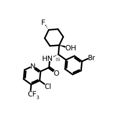 O=C(N[C@@H](c1cccc(Br)c1)[C@]1(O)CC[C@H](F)CC1)c1nccc(C(F)(F)F)c1Cl